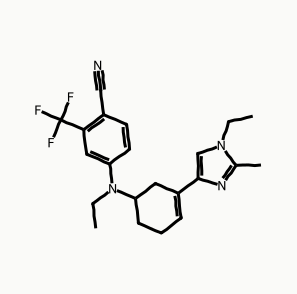 CCN(c1ccc(C#N)c(C(F)(F)F)c1)C1CCC=C(c2cn(CC)c(C)n2)C1